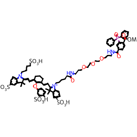 COC(=O)c1ccc(C(=O)NCCCOCCOCCOCCCNC(=O)CCCCC[N+]2=C(/C=C/C3=C(Oc4ccc(S(=O)(=O)O)cc4)C(=C/C=C4/N(CCCCS(=O)(=O)O)c5ccc(S(=O)(=O)O)cc5C4(C)C)/CCC3)C(C)(C)c3cc(S(=O)(=O)O)ccc32)cc1P(=O)(c1ccccc1)c1ccccc1